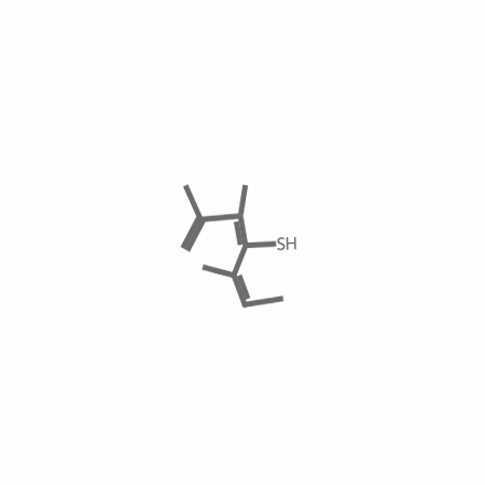 C=C(C)/C(C)=C(S)\C(C)=C/C